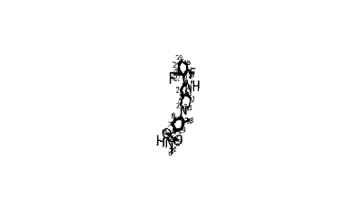 CCNS(=O)(=O)c1ccc(N2CCc3[nH]c(-c4c(F)cccc4F)cc3C2)c(C)c1